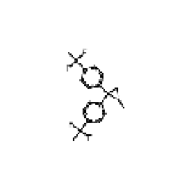 CC1CC1(c1ccc(C(C)(F)F)cc1)c1ccc(C(C)(F)F)cc1